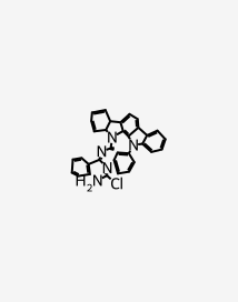 C=C(/N=C(\N=C(/N)Cl)c1ccccc1)N1c2c(ccc3c4ccccc4n(-c4ccccc4)c23)C2C=CC=CC21